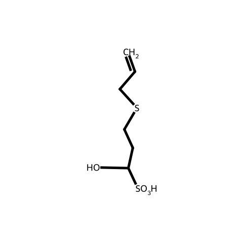 C=CCSCCC(O)S(=O)(=O)O